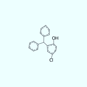 Oc1ccc(Cl)cc1C(c1ccccc1)c1ccccc1